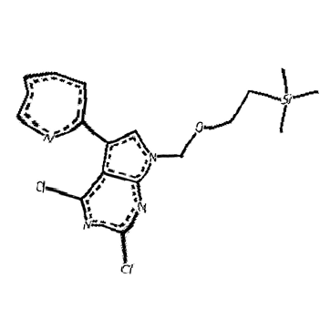 C[Si](C)(C)CCOCn1cc(-c2ccccn2)c2c(Cl)nc(Cl)nc21